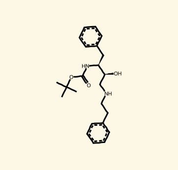 CC(C)(C)OC(=O)N[C@@H](Cc1ccccc1)[C@@H](O)CNCCc1ccccc1